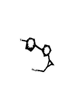 CNCC1CC1c1cccc(-c2ccc(F)cc2)c1